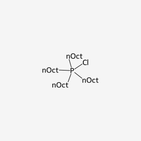 CCCCCCCCP(Cl)(CCCCCCCC)(CCCCCCCC)CCCCCCCC